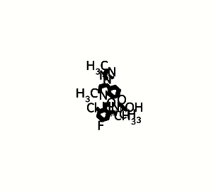 Cc1cc(-n2cnc(C)n2)c2cccc(OCc3c(Cl)cc(F)cc3[C@H](C)NC(=O)[C@@H](C)O)c2n1